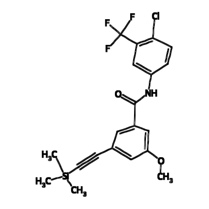 COc1cc(C#C[Si](C)(C)C)cc(C(=O)Nc2ccc(Cl)c(C(F)(F)F)c2)c1